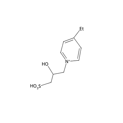 CCc1cc[n+](CC(O)CS(=O)(=O)O)cc1